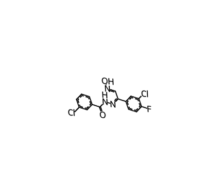 O=C(NN=C(C=NO)c1ccc(F)c(Cl)c1)c1cccc(Cl)c1